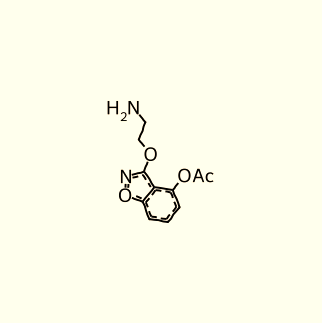 CC(=O)Oc1cccc2onc(OCCN)c12